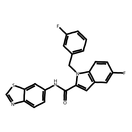 O=C(Nc1ccc2ncsc2c1)c1cc2cc(F)ccc2n1Cc1cccc(F)c1